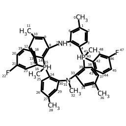 Cc1ccc2c(c1)Nc1cc(C)ccc1[PH](C)(c1cccc(F)c1)c1ccc(C)cc1N(C)c1cc(C)ccc1[PH]2(C)c1cccc(F)c1